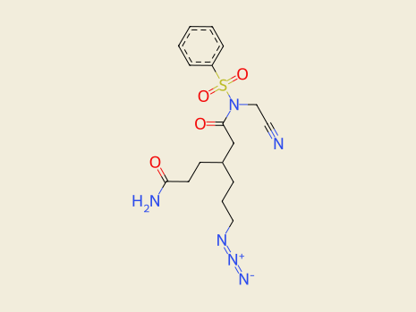 N#CCN(C(=O)CC(CCCN=[N+]=[N-])CCC(N)=O)S(=O)(=O)c1ccccc1